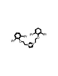 CC(C)C1=CCCC(C(C)C)=C1OCC[n+]1ccn(CCOc2c(C(C)C)cccc2C(C)C)c1